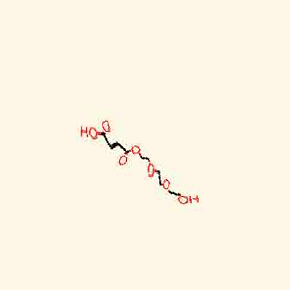 O=C(O)C=CC(=O)OCCOCCOCCO